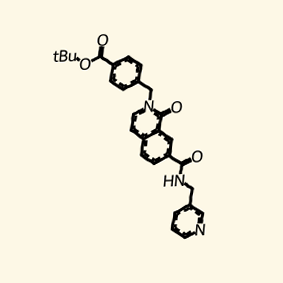 CC(C)(C)OC(=O)c1ccc(Cn2ccc3ccc(C(=O)NCc4cccnc4)cc3c2=O)cc1